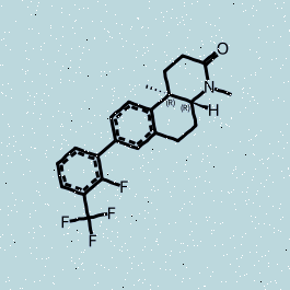 CN1C(=O)CC[C@]2(C)c3ccc(-c4cccc(C(F)(F)F)c4F)cc3CC[C@@H]12